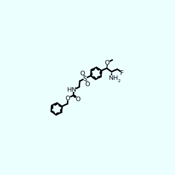 CO[C@H](c1ccc(S(=O)(=O)CCNC(=O)OCc2ccccc2)cc1)[C@H](N)CF